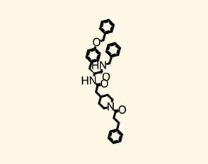 O=C(CC1CCN(C(=O)CCc2ccccc2)CC1)N[C@@H](Cc1ccc(OCc2ccccc2)cc1)C(=O)NCc1ccccc1